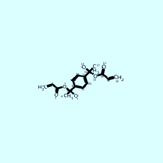 C=CC(=O)OC(C)([O])c1ccc(C(C)([O])OC(=O)C=C)cc1